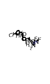 C[C@H](C(=O)Nc1ccc(F)c([C@H]2C[C@H]2NO/C(N)=N\C(F)F)c1)c1ccc(Cl)cc1